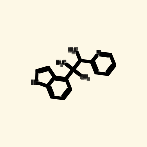 CC(c1ccccn1)C(C)(C)c1cccc2[nH]ccc12